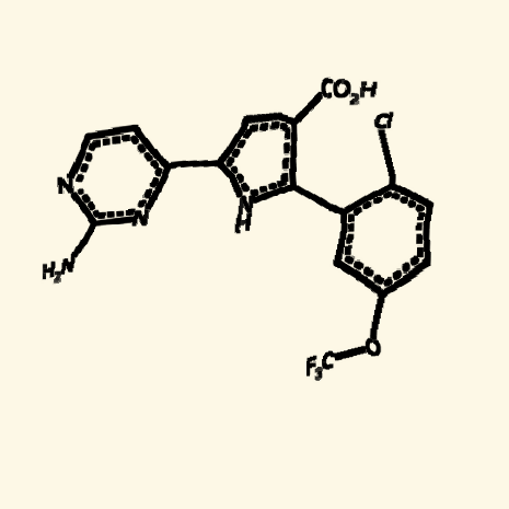 Nc1nccc(-c2cc(C(=O)O)c(-c3cc(OC(F)(F)F)ccc3Cl)[nH]2)n1